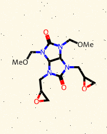 COCN1C(=O)N(COC)C2C1N(CC1CO1)C(=O)N2CC1CO1